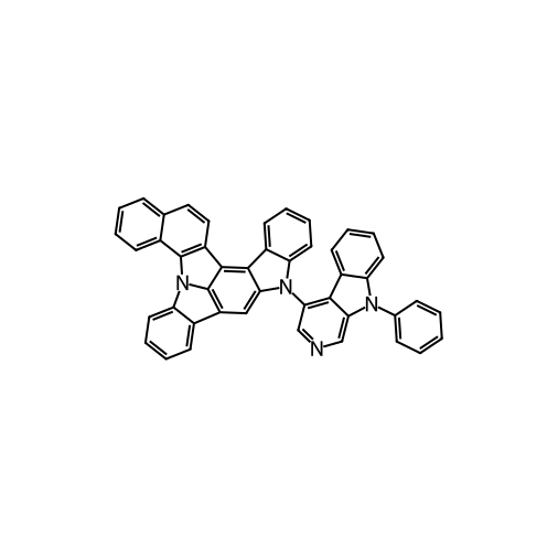 c1ccc(-n2c3ccccc3c3c(-n4c5ccccc5c5c6c7ccc8ccccc8c7n7c8ccccc8c(cc54)c67)cncc32)cc1